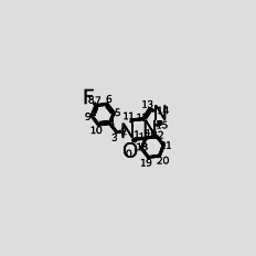 O=C1N(Cc2ccc(F)cc2)Cc2cncn2C12CCCCC2